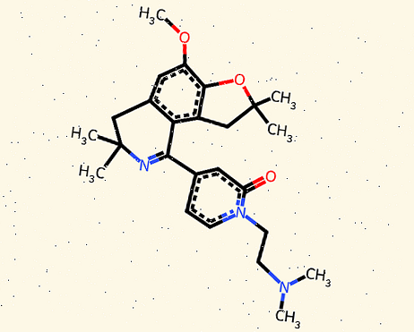 COc1cc2c(c3c1OC(C)(C)C3)C(c1ccn(CCN(C)C)c(=O)c1)=NC(C)(C)C2